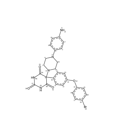 Nc1ccc(N2CCN(C3(c4ccc(Oc5ccc(Br)cc5)cc4)C(=O)NC(=O)NC3=O)CC2)cc1